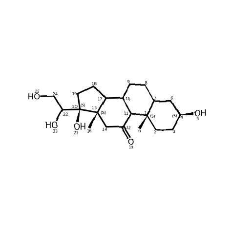 C[C@]12CC[C@H](O)CC1CCC1C2C(=O)C[C@@]2(C)C1CC[C@@]2(O)C(O)CO